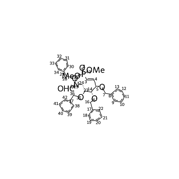 COP(=O)(/C=C/[C@@H](OCc1ccccc1)[C@H](OCc1ccccc1)[C@@H](CN(C=O)OCc1ccccc1)OCc1ccccc1)OC